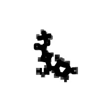 CC(C)(C)OC(=O)N1CC(C(N)c2cc(F)c(Cl)cc2F)C1